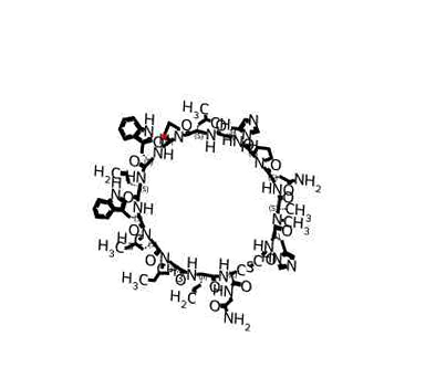 C=CC[C@@H]1NC(=O)[C@H](Cc2c[nH]c3ccccc23)NC(=O)[C@@H]2CCCN2C(=O)[C@H](CC(C)C)NC(=O)[C@H](Cc2cnc[nH]2)NC(=O)[C@@H]2CCCN2C(=O)[C@H](CC(N)=O)NC(=O)[C@H](C)N(C)C(=O)[C@H](Cc2cnc[nH]2)NC(=O)CSC[C@@H](C(=O)NCC(N)=O)NC(=O)[C@H](CC=C)NC(=O)[C@H](CCCC)N(C)C(=O)[C@H](CCCC)N(C)C(=O)[C@H](Cc2c[nH]c3ccccc23)NC1=O